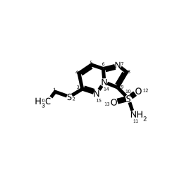 CCSc1ccc2ncc(S(N)(=O)=O)n2n1